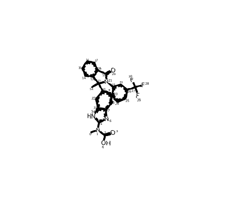 CN(C(=O)O)c1nc2ccc(C3(C)c4ccccc4C(=O)N3c3cccc(C(F)(F)F)c3)cc2[nH]1